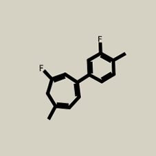 CC1=CC=C(c2ccc(C)c(F)c2)C=C(F)C1